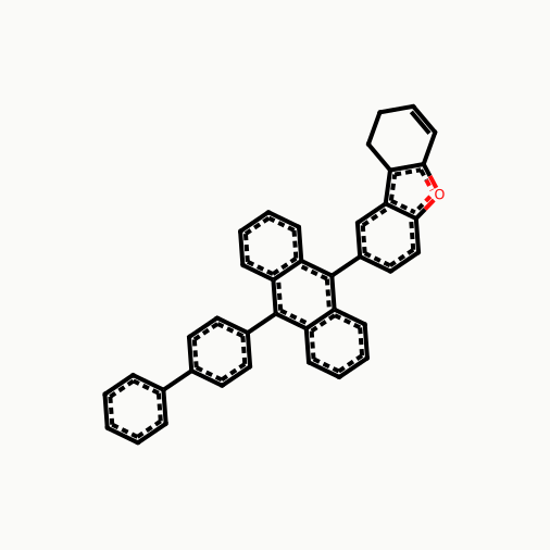 C1=Cc2oc3ccc(-c4c5ccccc5c(-c5ccc(-c6ccccc6)cc5)c5ccccc45)cc3c2CC1